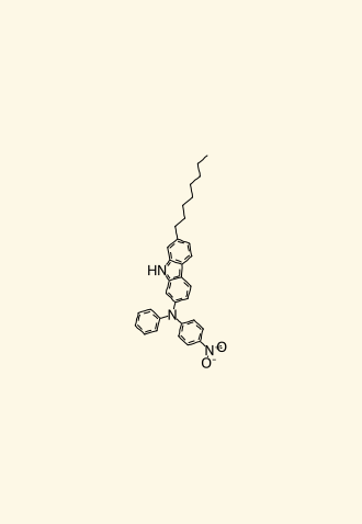 CCCCCCCCc1ccc2c(c1)[nH]c1cc(N(c3ccccc3)c3ccc([N+](=O)[O-])cc3)ccc12